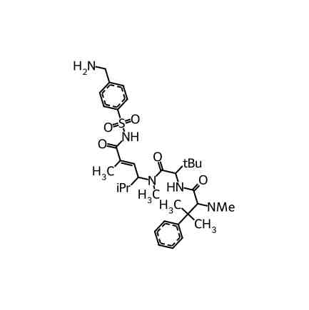 CNC(C(=O)NC(C(=O)N(C)C(C=C(C)C(=O)NS(=O)(=O)c1ccc(CN)cc1)C(C)C)C(C)(C)C)C(C)(C)c1ccccc1